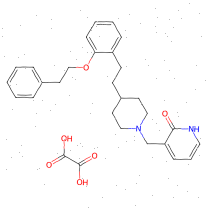 O=C(O)C(=O)O.O=c1[nH]cccc1CN1CCC(CCc2ccccc2OCCc2ccccc2)CC1